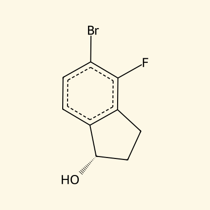 O[C@H]1CCc2c1ccc(Br)c2F